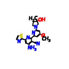 COc1cc(-c2nc(-c3nccs3)cc(N)c2C#N)nc(N2CCC(C)(O)C2)c1